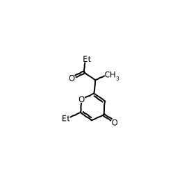 CCC(=O)C(C)c1cc(=O)cc(CC)o1